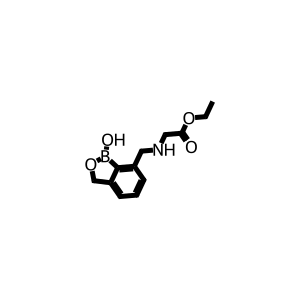 CCOC(=O)CNCc1cccc2c1B(O)OC2